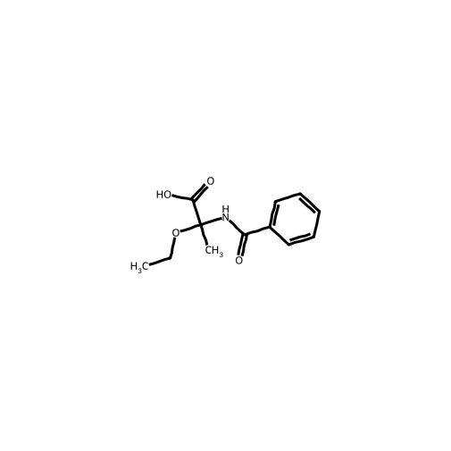 CCOC(C)(NC(=O)c1ccccc1)C(=O)O